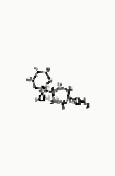 Cc1ccc([N+]2(C)CCCCC2)cc1